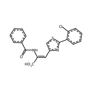 O=C(O)/C(=C/c1csc(-c2ccccc2Cl)n1)NC(=O)c1ccccc1